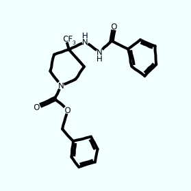 O=C(NNC1(C(F)(F)F)CCN(C(=O)OCc2ccccc2)CC1)c1ccccc1